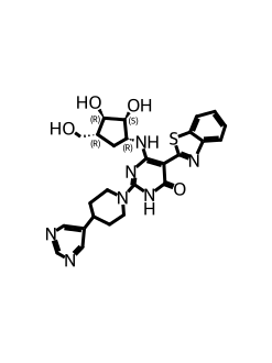 O=c1[nH]c(N2CCC(c3cncnc3)CC2)nc(N[C@@H]2C[C@H](CO)[C@@H](O)[C@H]2O)c1-c1nc2ccccc2s1